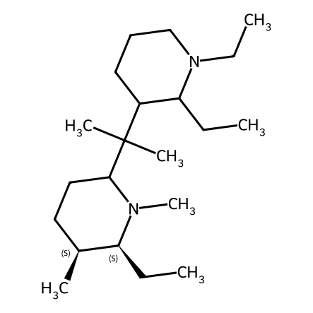 CCC1C(C(C)(C)C2CC[C@H](C)[C@H](CC)N2C)CCCN1CC